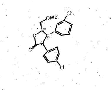 COC[C@@H]1OC(=O)N(c2ccc(Cl)cc2)[C@H]1c1cccc(C(F)(F)F)c1